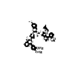 COc1ccc(C2=NN(C3CCN(C(=O)[C@H](Cc4ccc(O)cc4)NC(=O)Oc4c[nH]c5c(-c6c(OCC7CC7)ccc7c6OCO7)ncnc45)CC3)C(=O)[C@@H]3CCCC[C@H]23)cc1OC